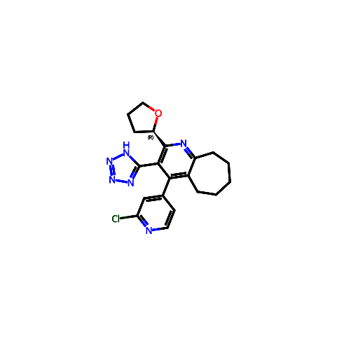 Clc1cc(-c2c3c(nc([C@H]4CCCO4)c2-c2nnn[nH]2)CCCCC3)ccn1